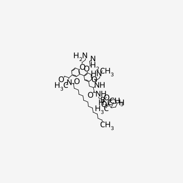 CCCCCCCCCCCCCC(=O)N(C)C(C=O)c1ccc(OCCN)c(-c2cc(CC(NC(=O)CNC)C(=O)NCB3OC4C[C@@H]5CC(C5(C)C)[C@]4(C)O3)ccc2OCCN)c1